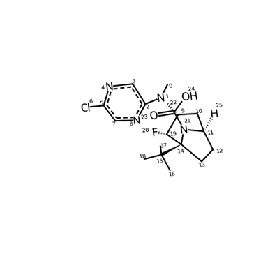 CN(c1cnc(Cl)cn1)[C@@H]1C[C@H]2CC[C@](C(C)(C)C)([C@@H]1F)N2C(=O)O